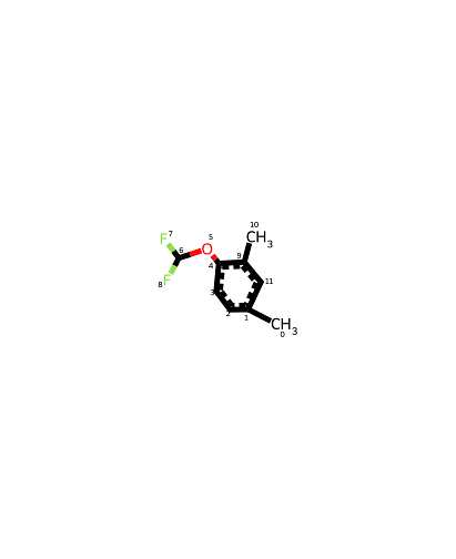 Cc1c[c]c(OC(F)F)c(C)c1